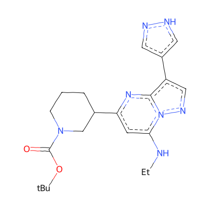 CCNc1cc(C2CCCN(C(=O)OC(C)(C)C)C2)nc2c(-c3cn[nH]c3)cnn12